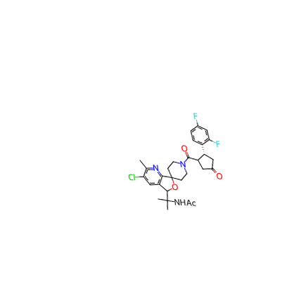 CC(=O)NC(C)(C)C1OC2(CCN(C(=O)C3CC(=O)C[C@H]3c3ccc(F)cc3F)CC2)c2nc(C)c(Cl)cc21